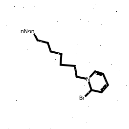 CCCCCCCCCCCCCCCCN1C=CC=CC1Br